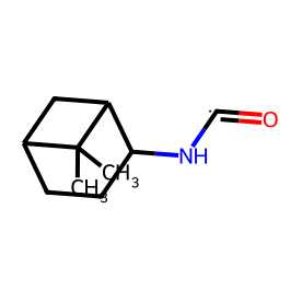 CC1(C)C2CCC(N[C]=O)C1C2